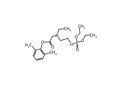 CCOP(=O)(OCC)OCCN(CC)CC(=O)Oc1c(C)cccc1C